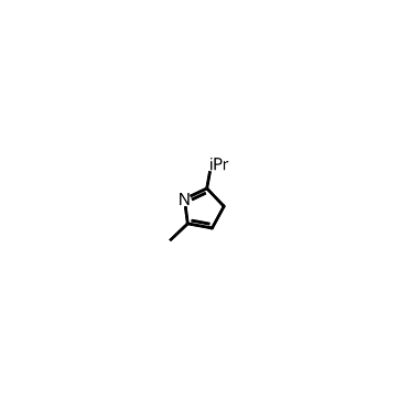 CC1=CCC(C(C)C)=N1